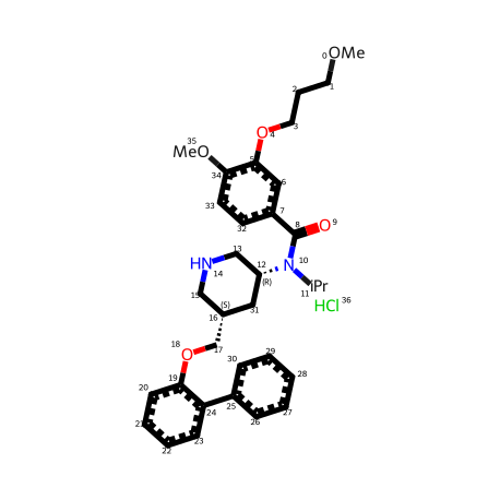 COCCCOc1cc(C(=O)N(C(C)C)[C@H]2CNC[C@@H](COc3ccccc3-c3ccccc3)C2)ccc1OC.Cl